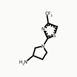 NC1CCN(c2nc(C(F)(F)F)cs2)C1